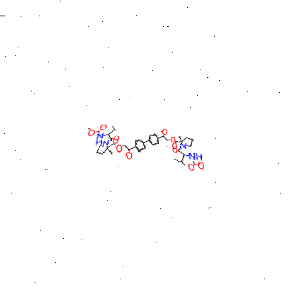 COC(=O)N[C@H](C(=O)N1CCC[C@@]1(C)C(=O)OCC(=O)c1ccc(-c2ccc(C(=O)COC(=O)[C@]3(C)CCCN3C(=O)[C@@H](NC(=O)OC)C(C)C)cc2)cc1)C(C)C